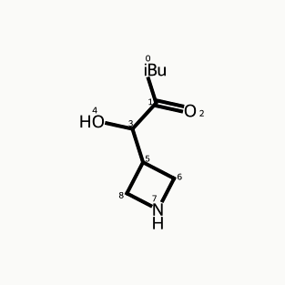 CCC(C)C(=O)C(O)C1CNC1